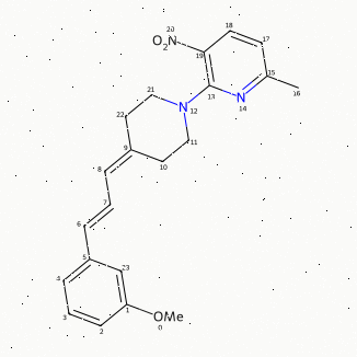 COc1cccc(C=CC=C2CCN(c3nc(C)ccc3[N+](=O)[O-])CC2)c1